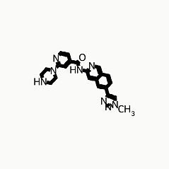 Cn1cc(-c2ccc3cnc(NC(=O)c4ccnc(N5CCNCC5)c4)cc3c2)nn1